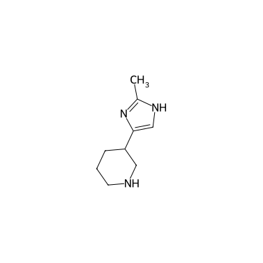 Cc1nc(C2CCCNC2)c[nH]1